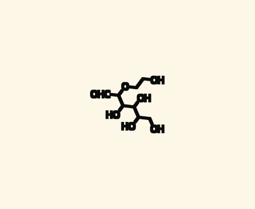 O=CC(OCCO)C(O)C(O)C(O)CO